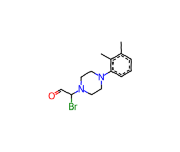 Cc1cccc(N2CCN(C(Br)C=O)CC2)c1C